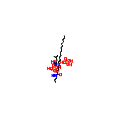 CC(C)CO.CCCCCCCCCCCCCCCCCC(=O)NCCC.N.O=P(O)(O)O.O=P(O)(O)O